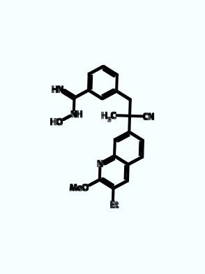 CCc1cc2ccc(C(C)(C#N)Cc3cccc(C(=N)NO)c3)cc2nc1OC